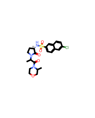 CC1COCCN1C(=O)C(C)N1CC[C@H](NS(=O)(=O)c2ccc3cc(Cl)ccc3c2)C1=O